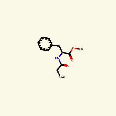 CCCCOC(=O)C(Cc1ccccc1)NC(=O)CNC